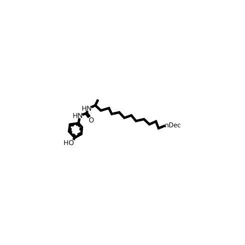 CCCCCCCCCCCCCCCCCCCCCC(C)NC(=O)Nc1ccc(O)cc1